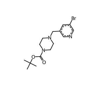 CC(C)(C)OC(=O)N1CCN(Cc2cncc(Br)c2)CC1